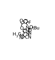 Cn1ncc(C#N)c1-c1cc2c(n3cnnc13)N(C(=O)OC(C)(C)C)Cc1c(F)ccc3c1C(CO3)CO2